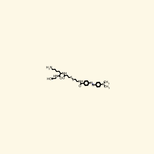 C#CCNC(=O)C(CCCCN)NC(=O)CCSSCCNC(=O)c1ccc(/N=N/c2ccc(N(C)C)cc2)cc1